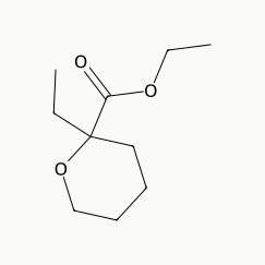 CCOC(=O)C1(CC)CCCCO1